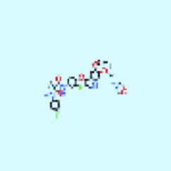 COc1cc2c(Oc3ccc(NC(=O)C4(C(=O)Nc5ccc(F)cc5)CC4)cc3F)ccnc2cc1OC1CC1CN1CCOCC1